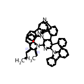 C=C/C=c1\c(=C/C)n(-c2nc(-n3c4ccccc4c4ccccc43)c(-c3ccccc3)c(-c3cccc(C#N)c3C#N)c2-n2c3ccccc3c3ccccc32)c2ccccc12